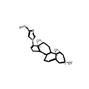 COc1cn(C2=CCC3C4CC=C5C[C@@H](O)CC[C@]5(C)C4CC[C@]23C)cn1